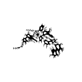 CCCCCCN(c1ccccc1)C(F)(F)C(F)(F)F.Fc1ccc(-c2c(F)c(F)c(F)c(F)c2F)c(F)c1F.Fc1ccc(-c2c(F)c(F)c(F)c(F)c2F)c(F)c1F.Fc1ccc(-c2c(F)c(F)c(F)c(F)c2F)c(F)c1F.Fc1ccc(-c2c(F)c(F)c(F)c(F)c2F)c(F)c1F.[O]=[Al][OH]